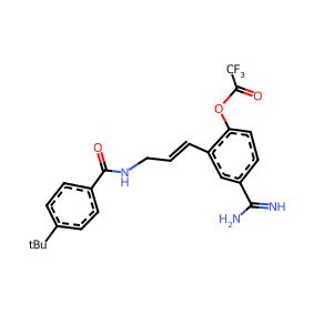 CC(C)(C)c1ccc(C(=O)NC/C=C/c2cc(C(=N)N)ccc2OC(=O)C(F)(F)F)cc1